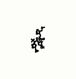 COCc1ocnc1CNC(=O)[C@@H]1C[C@@H](O)CN1C(=O)[C@@H](n1cc(C2CC2)nn1)C(C)(C)C